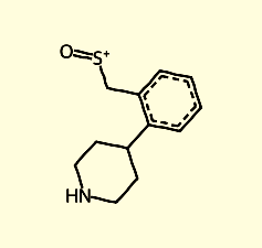 O=[S+]Cc1ccccc1C1CCNCC1